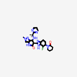 C[C@H](Nc1c(-c2nc3ccc(N4CCCCC4=O)c(F)c3[nH]2)c(=O)[nH]c2cn(C)nc12)c1ncccn1